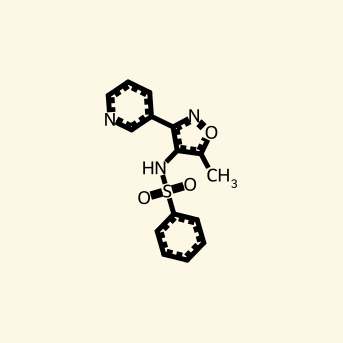 Cc1onc(-c2cccnc2)c1NS(=O)(=O)c1ccccc1